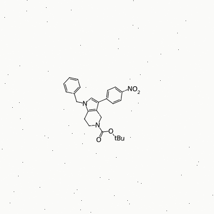 CC(C)(C)OC(=O)N1CCc2c(c(-c3ccc([N+](=O)[O-])cc3)cn2Cc2ccccc2)C1